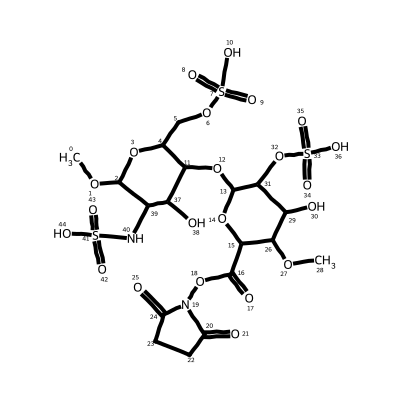 COC1OC(COS(=O)(=O)O)C(OC2OC(C(=O)ON3C(=O)CCC3=O)C(OC)C(O)C2OS(=O)(=O)O)C(O)C1NS(=O)(=O)O